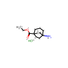 CCOC(=O)C12CCCC(N)(CC1)CC2.Cl